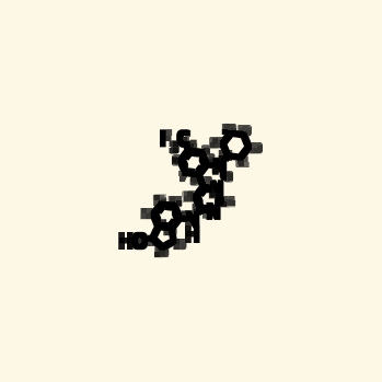 CN(c1cc(C(F)(F)F)ccc1-c1cc(Nc2cccc3c2CCC3O)ncn1)C1CCCCC1